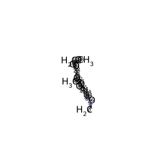 C=CC/C=C/C(=O)c1ccc2cc(-c3ccc(C(=O)Oc4ccc(OCCCCCCOC(=O)C(=C)COC)c(C)c4)cc3)ccc2c1